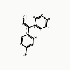 Fc1ccc(C(=CCl)c2ccccc2)cc1